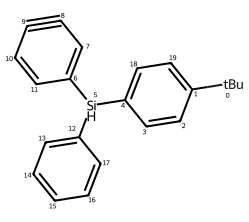 CC(C)(C)c1ccc([SiH](c2cc#ccc2)c2ccccc2)cc1